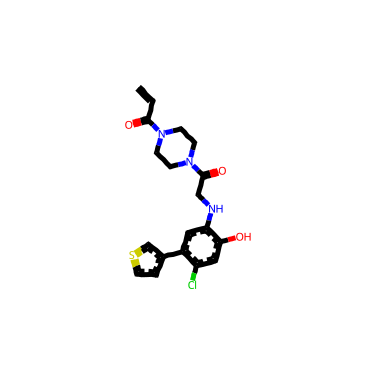 C=CC(=O)N1CCN(C(=O)CNc2cc(-c3ccsc3)c(Cl)cc2O)CC1